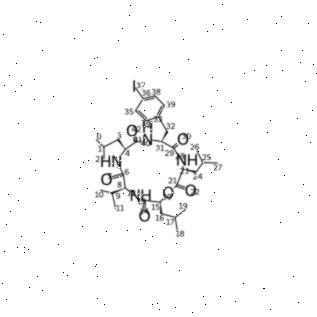 CC(C)C[C@@H]1NC(=O)[C@H](C(C)C)NC(=O)[C@H](CC(C)C)OC(=O)[C@H](CC(C)C)NC(=O)[C@H](Cc2ccc(I)cc2)NC1=O